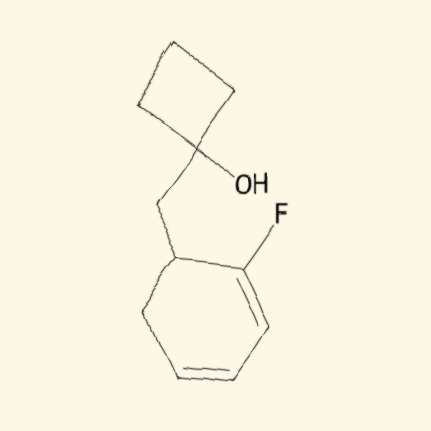 OC1(CC2CC=CC=C2F)CCC1